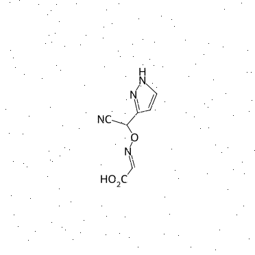 N#CC(ON=CC(=O)O)c1cc[nH]n1